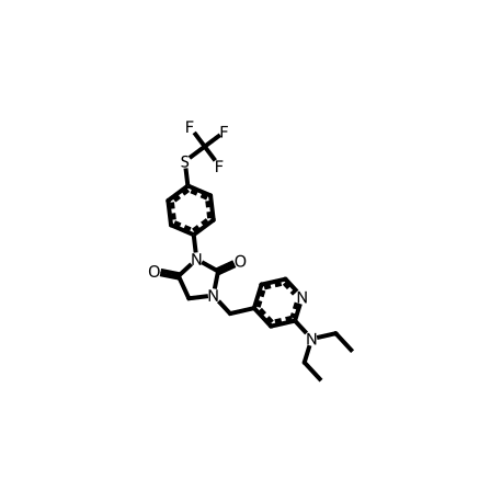 CCN(CC)c1cc(CN2CC(=O)N(c3ccc(SC(F)(F)F)cc3)C2=O)ccn1